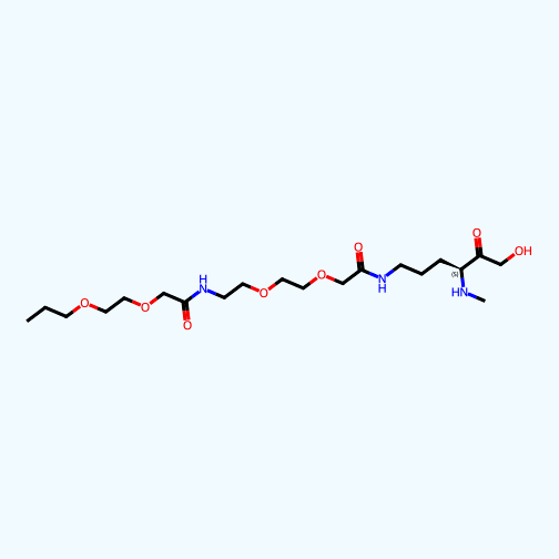 CCCOCCOCC(=O)NCCOCCOCC(=O)NCCC[C@H](NC)C(=O)CO